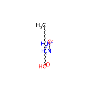 CCCCCCCCCCCCCCCCCCCCCC(=O)O.NCCC[NH2+][O-]